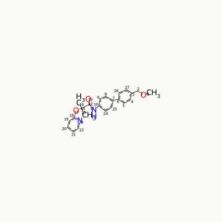 COCc1ccc(-c2ccc(NC(=O)C(C)(C)Oc3ccccn3)cc2)cc1